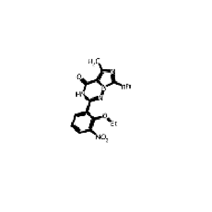 CCCc1nc(C)c2c(=O)[nH]c(-c3cccc([N+](=O)[O-])c3OCC)nn12